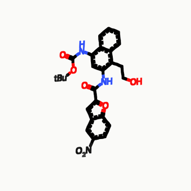 CC(C)(C)OC(=O)Nc1cc(NC(=O)c2cc3cc([N+](=O)[O-])ccc3o2)c(CCO)c2ccccc12